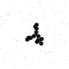 C1=CC(n2c3ccccc3c3c(-c4cccc(N(c5ccc(-c6ccc7c(ccc8ccccc87)c6)cc5)c5ccc(-c6ccc7c(ccc8ccccc87)c6)cc5)c4)cc4ccccc4c32)=CCC1